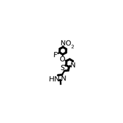 Cc1nc(-c2cc3nccc(Oc4ccc([N+](=O)[O-])cc4F)c3s2)c[nH]1